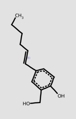 CCCC/C=C/c1ccc(O)c(CO)c1